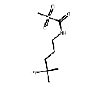 CC(C)C(C)(C)CCCNC(=O)S(C)(=O)=O